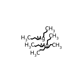 CCCCCCC.CCC[CH2][Mg][CH2]CCC.CCC[CH2][Mg][CH2]CCC